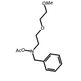 COCCOCCN(Cc1ccccc1)OC(C)=O